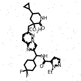 CCn1nccc1C(=O)NC(c1cn2nc(CC3(C(=O)O)CC(C4CC4)CNC3=O)ccc2n1)C1CCC(F)(F)CC1